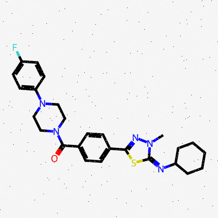 Cn1nc(-c2ccc(C(=O)N3CCN(c4ccc(F)cc4)CC3)cc2)s/c1=N/C1CCCCC1